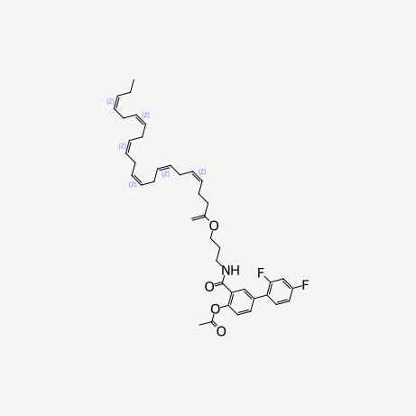 C=C(CC/C=C\C/C=C\C/C=C\C/C=C\C/C=C\C/C=C\CC)OCCCNC(=O)c1cc(-c2ccc(F)cc2F)ccc1OC(C)=O